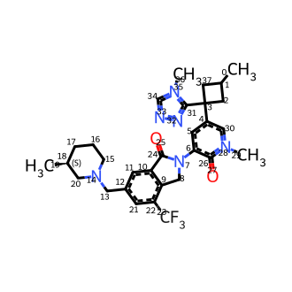 CC1CC(c2cc(N3Cc4c(cc(CN5CCC[C@H](C)C5)cc4C(F)(F)F)C3=O)c(=O)n(C)c2)(c2nncn2C)C1